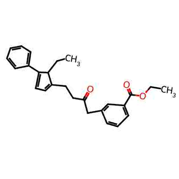 CCOC(=O)c1cccc(CC(=O)CCC2=CC=C(c3ccccc3)C2CC)c1